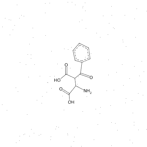 NC(C(=O)O)C(C(=O)O)C(=O)c1ccccc1